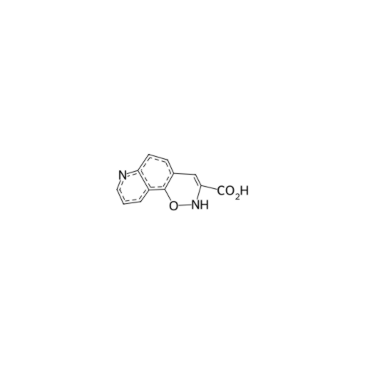 O=C(O)C1=Cc2ccc3ncccc3c2ON1